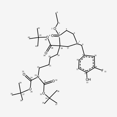 CCOP1(=O)CCN(Cc2ccc(O)c(F)c2)CC1(CCCCN(C(=O)OC(C)(C)C)C(=O)OC(C)(C)C)C(=O)OC(C)(C)C